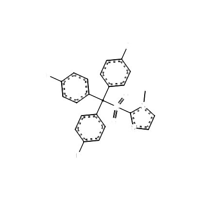 Cn1ccnc1S(=O)(=O)C(c1ccc(F)cc1)(c1ccc(F)cc1)c1ccc(F)cc1